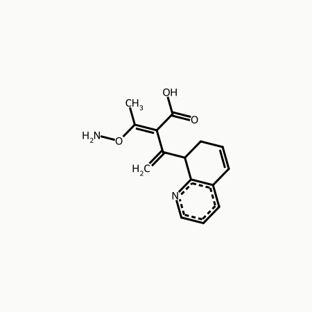 C=C(/C(C(=O)O)=C(/C)ON)C1CC=Cc2cccnc21